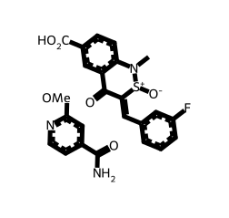 CN1c2ccc(C(=O)O)cc2C(=O)/C(=C/c2cccc(F)c2)[S+]1[O-].COc1cc(C(N)=O)ccn1